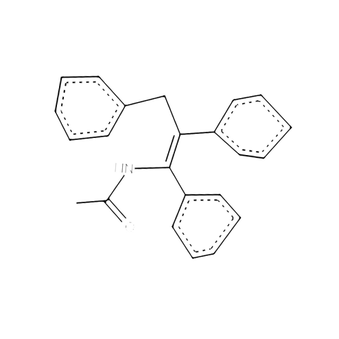 CC(=O)NC(=C(Cc1ccccc1)c1ccccc1)c1ccccc1